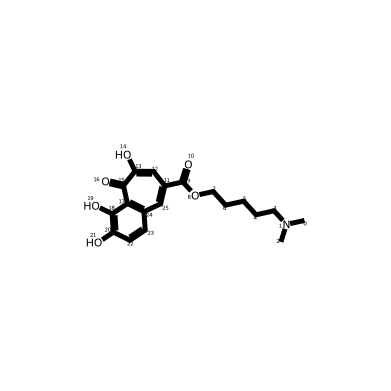 CN(C)CCCCCOC(=O)c1cc(O)c(=O)c2c(O)c(O)ccc2c1